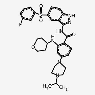 CC(C)N1CCN(c2ccc(C(=O)Nc3n[nH]c4ccc(S(=O)(=O)c5cccc(F)c5)cc34)c(NC3CCOCC3)c2)CC1